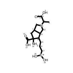 CC([C@@H](O)Cl)N1CC2CC(N)(C(=O)O)C(CCCB(O)O)C2C1